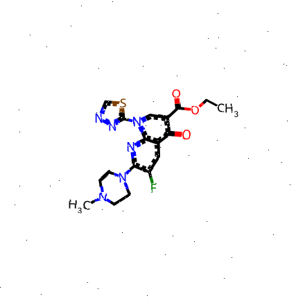 CCOC(=O)c1cn(-c2nncs2)c2nc(N3CCN(C)CC3)c(F)cc2c1=O